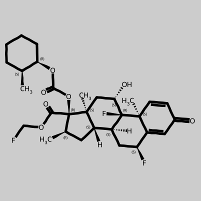 C[C@@H]1C[C@H]2[C@@H]3C[C@H](F)C4=CC(=O)C=C[C@]4(C)[C@@]3(F)[C@@H](O)C[C@]2(C)[C@@]1(OC(=O)O[C@@H]1CCCC[C@@H]1C)C(=O)OCF